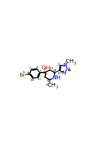 C[C@H]1C[C@@](O)(c2ccc(Br)cc2)C[C@@H](c2cn(C)nn2)N1